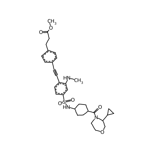 CNc1cc(S(=O)(=O)NC2CCC(C(=O)N3CCOCC3C3CC3)CC2)ccc1C#Cc1ccc(CCC(=O)OC)cc1